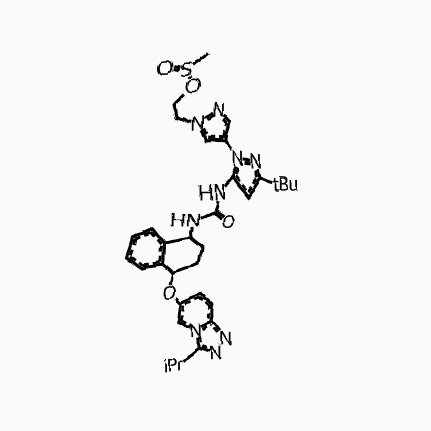 CC(C)c1nnc2ccc(O[C@@H]3CCC(NC(=O)Nc4cc(C(C)(C)C)nn4-c4cnn(CCOS(C)=O)c4)c4ccccc43)cn12